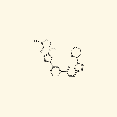 CN1CC[C@@](O)(c2cc(-c3cccc(-c4ncc5cnn(C6CCCCO6)c5n4)c3)no2)C1=O